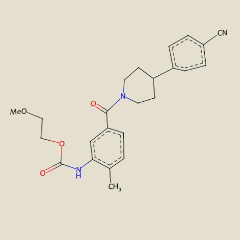 COCCOC(=O)Nc1cc(C(=O)N2CCC(c3ccc(C#N)cc3)CC2)ccc1C